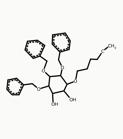 CCCCCCOC1C(O)C(O)C(OCc2ccccc2)C(OCc2ccccc2)C1OCc1ccccc1